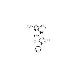 O=C(Nn1nc(C(F)(F)F)cc1C(F)(F)F)C1=C(Cl)N(c2ccccc2)CC(Cl)=C1